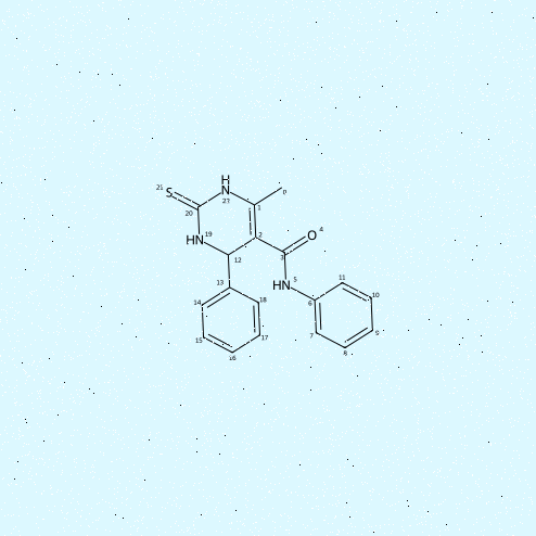 CC1=C(C(=O)Nc2ccccc2)C(c2ccccc2)NC(=S)N1